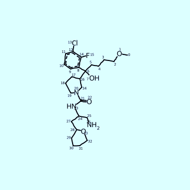 COCCCCC(O)(c1cccc(Cl)c1F)C1CCCN(C(=O)NC(CN)CC2CCCCO2)C1